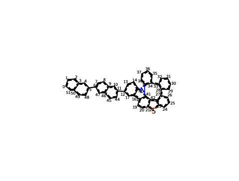 c1ccc2cc(-c3ccc4cc(-c5ccc6c(c5)c5ccc7sc8cccc9c%10ccccc%10c%10ccccc%10n6c5c7c89)ccc4c3)ccc2c1